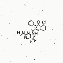 C[C@H](Nc1nc(N)ncc1C(F)(F)F)c1cc2cccc(Cl)c2c(=O)n1-c1ccccc1